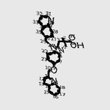 CC(C)(Cc1nc2cc(OCc3ccc4ccccc4n3)ccc2n1Cc1ccc2ncccc2c1)C(=O)O